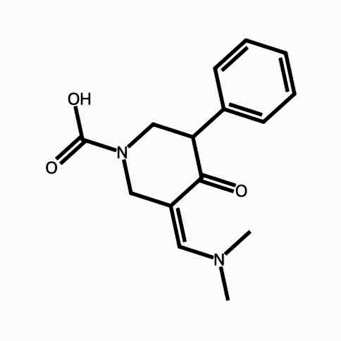 CN(C)/C=C1/CN(C(=O)O)CC(c2ccccc2)C1=O